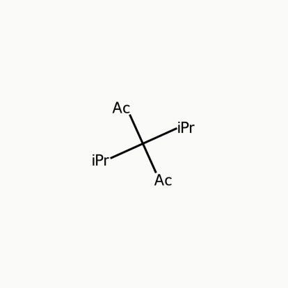 CC(=O)C(C(C)=O)(C(C)C)C(C)C